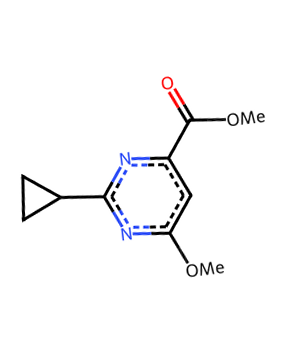 COC(=O)c1cc(OC)nc(C2CC2)n1